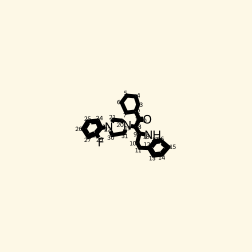 O=C(C1CCCCC1)C(C1CCc2ccccc2N1)N1CCN(c2ccccc2F)CC1